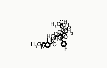 Cn1cc2cc(C(=O)NCC(O)(c3cc4c(c(-c5ccc(F)cc5)n3)OC[C@]4(C)C(=O)NCC(C)(C)O)C(F)(F)F)ccc2n1